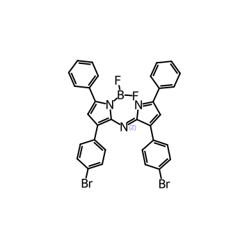 FB(F)n1c(-c2ccccc2)cc(-c2ccc(Br)cc2)c1/N=C1\N=C(c2ccccc2)C=C1c1ccc(Br)cc1